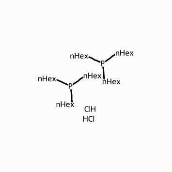 CCCCCCP(CCCCCC)CCCCCC.CCCCCCP(CCCCCC)CCCCCC.Cl.Cl